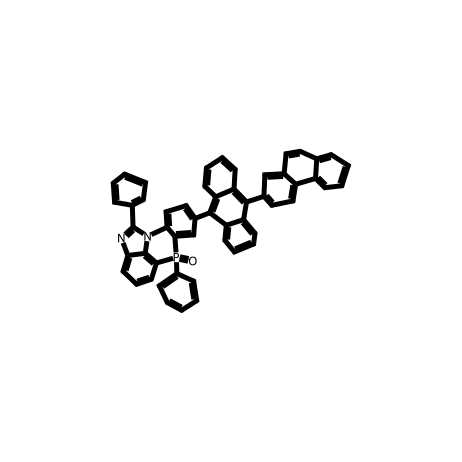 O=P1(c2ccccc2)c2cc(-c3c4ccccc4c(-c4ccc5c(ccc6ccccc65)c4)c4ccccc34)ccc2-n2c(-c3ccccc3)nc3cccc1c32